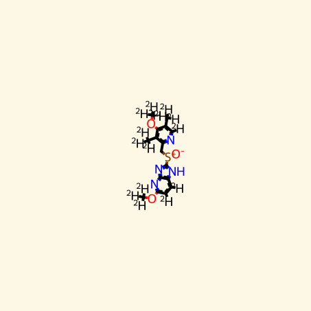 [2H]c1nc(C[S+]([O-])c2nc3nc(OC([2H])([2H])[2H])c([2H])c([2H])c3[nH]2)c(C([2H])([2H])[2H])c(OC([2H])([2H])[2H])c1C([2H])([2H])[2H]